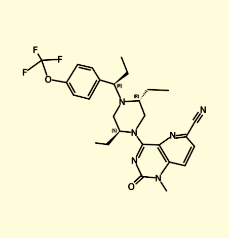 CC[C@H]1CN([C@H](CC)c2ccc(OC(F)(F)F)cc2)[C@H](CC)CN1c1nc(=O)n(C)c2ccc(C#N)nc12